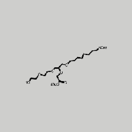 CCCCCCCCCCCCCCCCCCOCC(CSCCOCCO)OCC(=O)OC